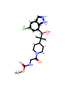 CC(C)(C)OC(=O)NCC(=O)N1CCC(C(C)(C)[C@H](O)c2cc(Cl)cc3cn[nH]c23)CC1